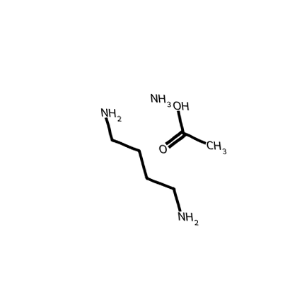 CC(=O)O.N.NCCCCN